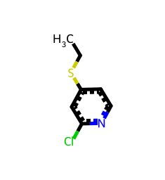 CCSc1ccnc(Cl)c1